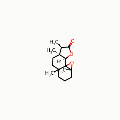 C[C@H]1C(=O)O[C@H]2C34OC3(C)CCC[C@]4(C)CC[C@@]12C